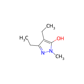 CCc1nn(C)c(O)c1CC